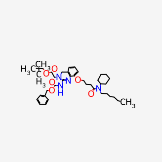 CCCCCCN(C(=O)CCCOc1cccc2c1N=C(NC(=O)OCc1ccccc1)N(CC(=O)OCC(C)(C)C)C2)C1CCCCC1